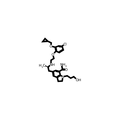 C[C@H](Cc1cc2c(c(C(N)=O)c1)N(CCCO)CC2)NCCOc1ccc(Cl)cc1OCC1CC1